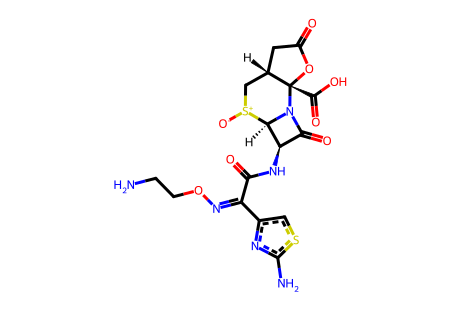 NCCO/N=C(\C(=O)N[C@@H]1C(=O)N2[C@@H]1[S+]([O-])C[C@@H]1CC(=O)O[C@@]12C(=O)O)c1csc(N)n1